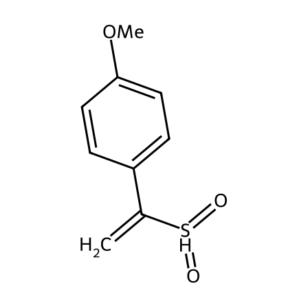 C=C(c1ccc(OC)cc1)[SH](=O)=O